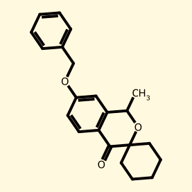 CC1OC2(CCCCC2)C(=O)c2ccc(OCc3ccccc3)cc21